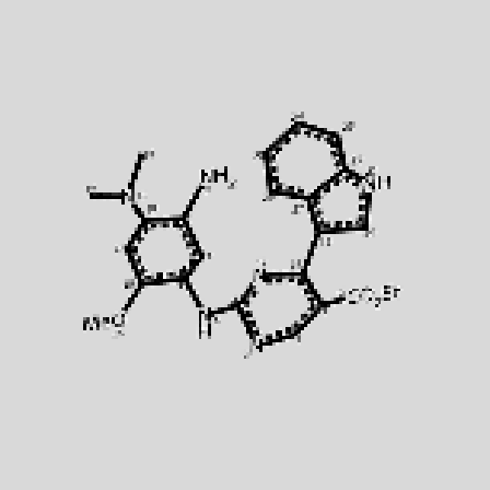 CCOC(=O)c1cnc(Nc2cc(N)c(N(C)C)cc2OC)nc1-c1c[nH]c2ccccc12